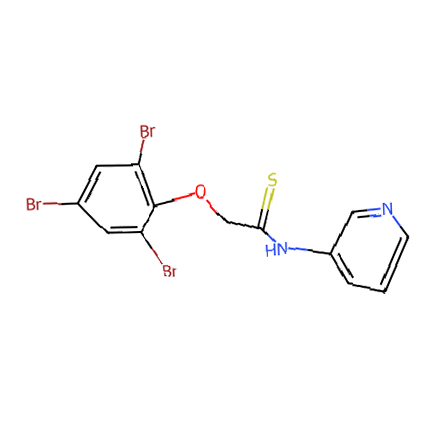 S=C(COc1c(Br)cc(Br)cc1Br)Nc1cccnc1